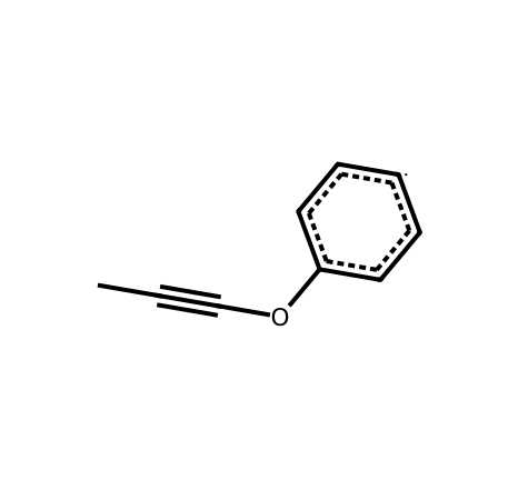 CC#COc1cc[c]cc1